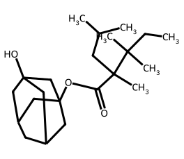 CCC(C)(C)C(C)(CC(C)C)C(=O)OC12CC3CC(CC(O)(C3)C1)C2